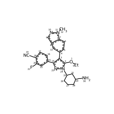 CCOc1c(-c2ccc3c(cnn3C)c2)c(-c2ccc(C#N)c(F)c2)nn1C1CCCC(N)C1